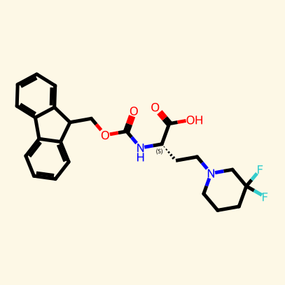 O=C(N[C@@H](CCN1CCCC(F)(F)C1)C(=O)O)OCC1c2ccccc2-c2ccccc21